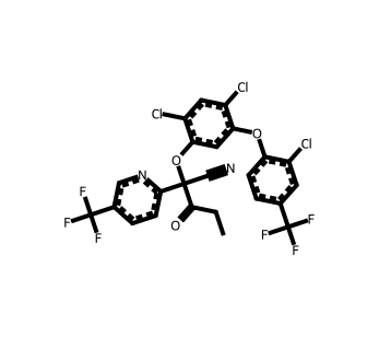 CCC(=O)C(C#N)(Oc1cc(Oc2ccc(C(F)(F)F)cc2Cl)c(Cl)cc1Cl)c1ccc(C(F)(F)F)cn1